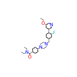 CCOc1cncc(-c2ccc(CN3CCN(c4ccc(C(=O)N(CC)CC)cc4)CC3)cc2F)c1